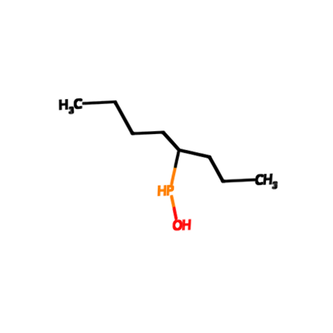 CCCCC(CCC)PO